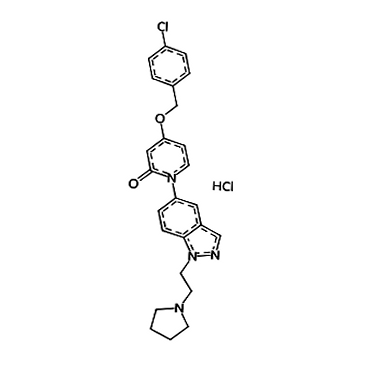 Cl.O=c1cc(OCc2ccc(Cl)cc2)ccn1-c1ccc2c(cnn2CCN2CCCC2)c1